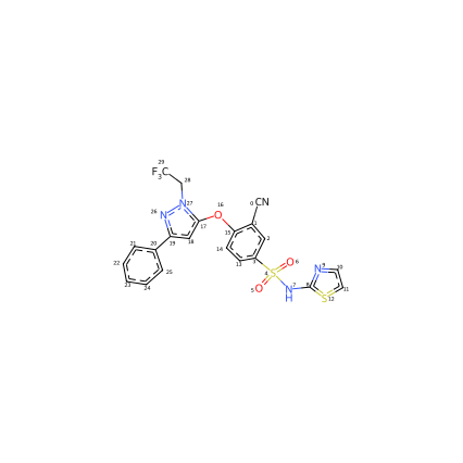 N#Cc1cc(S(=O)(=O)Nc2nccs2)ccc1Oc1cc(-c2ccccc2)nn1CC(F)(F)F